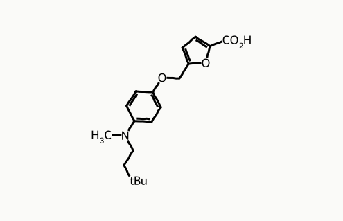 CN(CCC(C)(C)C)c1ccc(OCc2ccc(C(=O)O)o2)cc1